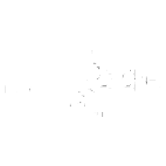 CCOC(=O)CCCCCCN(C(=O)OC(C)(C)C)c1cc2nc(-c3cnc(N)nc3)nc(N3CCOCC3)c2s1